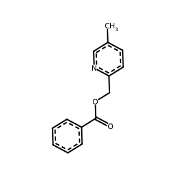 Cc1ccc(COC(=O)c2ccccc2)nc1